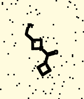 CC(C)CC1CN(C(=O)N2CCC2)C1